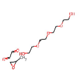 CC1CO1.O=CC=O.OCCOCCOCCOCCO